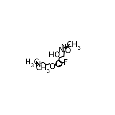 Cc1nnc(CC(O)c2cc(OCCCN(C)C)ccc2F)o1